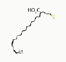 CC/C=C\C/C=C\CCCCCCCCCC/C=C(/CCC=S)C(=O)O